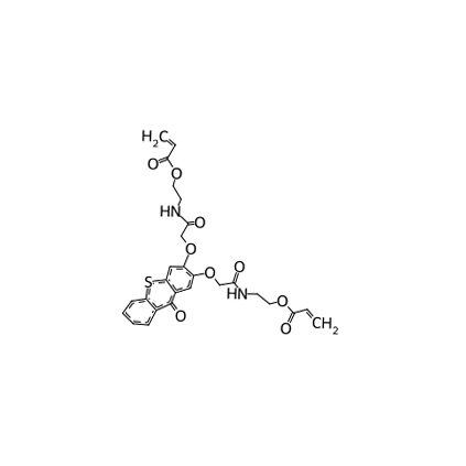 C=CC(=O)OCCNC(=O)COc1cc2sc3ccccc3c(=O)c2cc1OCC(=O)NCCOC(=O)C=C